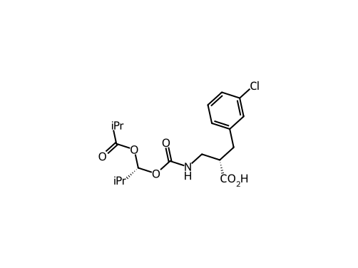 CC(C)C(=O)O[C@H](OC(=O)NC[C@H](Cc1cccc(Cl)c1)C(=O)O)C(C)C